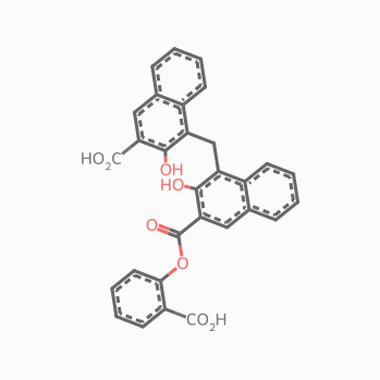 O=C(O)c1ccccc1OC(=O)c1cc2ccccc2c(Cc2c(O)c(C(=O)O)cc3ccccc23)c1O